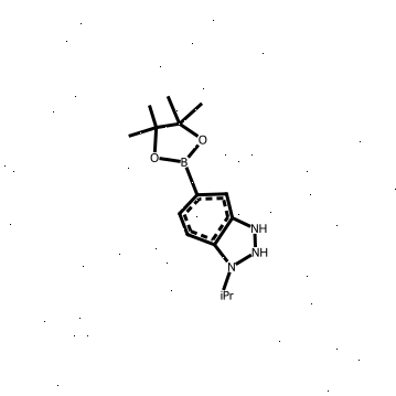 CC(C)N1NNc2cc(B3OC(C)(C)C(C)(C)O3)ccc21